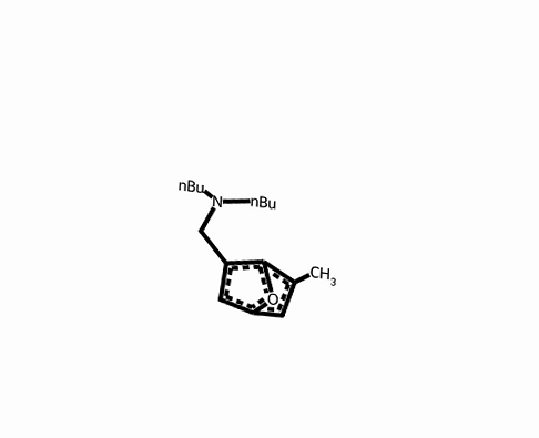 CCCCN(CCCC)Cc1cc2cc(C)c1o2